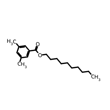 CCCCCCCCCCOC(=O)c1cc(C)cc(C)c1